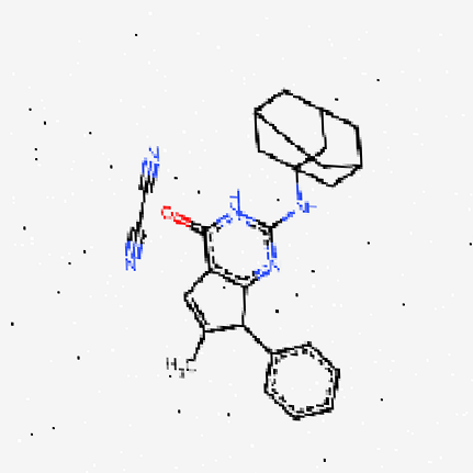 CC1=Cc2c(nc(NC34CC5CC(CC(C5)C3)C4)[nH]c2=O)C1c1ccccc1.N#CC#N